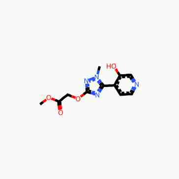 COC(=O)COc1nc(-c2ccncc2O)n(C)n1